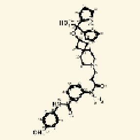 CN(C(=O)CCN1CCC2(CC1)CC(OC(C(=O)O)(c1cccs1)c1cccs1)C2)c1cccc(C(=O)Nc2ccc(C=O)cc2)c1